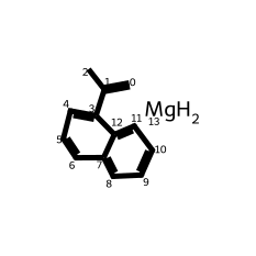 C=C(C)c1cccc2ccccc12.[MgH2]